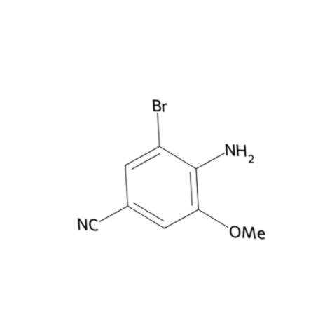 COc1cc(C#N)cc(Br)c1N